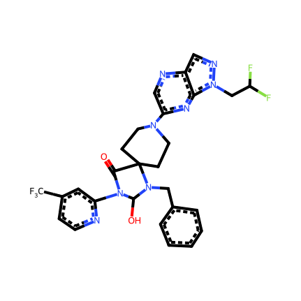 O=C1N(c2cc(C(F)(F)F)ccn2)C(O)N(Cc2ccccc2)C12CCN(c1cnc3cnn(CC(F)F)c3n1)CC2